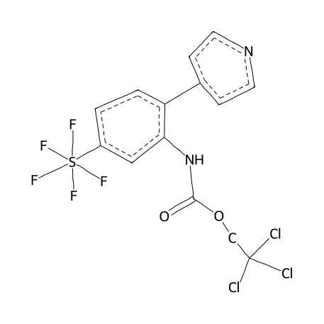 O=C(Nc1cc(S(F)(F)(F)(F)F)ccc1-c1ccncc1)OCC(Cl)(Cl)Cl